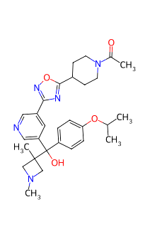 CC(=O)N1CCC(c2nc(-c3cncc(C(O)(c4ccc(OC(C)C)cc4)C4(C)CN(C)C4)c3)no2)CC1